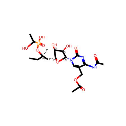 CC[C@](C)(C[C@H]1O[C@@H](n2cc(COC(C)=O)c(NC(C)=O)nc2=O)[C@H](O)[C@@H]1O)OP(=O)(O)C(C)O